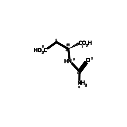 NC(=O)N[C@H](CC(=O)O)C(=O)O